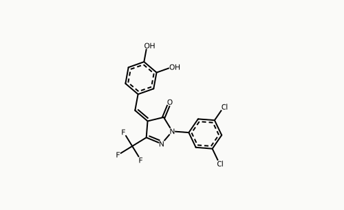 O=C1C(=Cc2ccc(O)c(O)c2)C(C(F)(F)F)=NN1c1cc(Cl)cc(Cl)c1